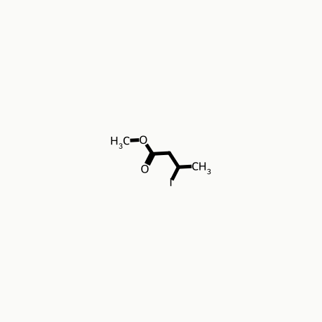 COC(=O)CC(C)I